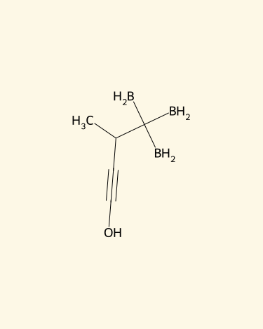 BC(B)(B)C(C)C#CO